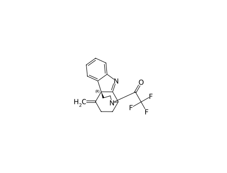 C=C1CCC2C3=Nc4ccccc4[C@@]13CCN2C(=O)C(F)(F)F